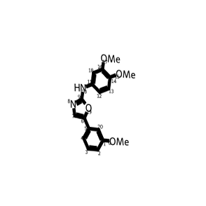 COc1cccc(-c2cnc(Nc3ccc(OC)c(OC)c3)o2)c1